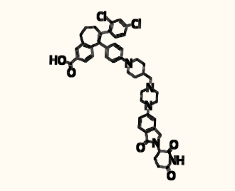 O=C1CCC(N2Cc3cc(N4CCN(CC5CCN(c6ccc(C7=C(c8ccc(Cl)cc8Cl)CCCc8cc(C(=O)O)ccc87)cc6)CC5)CC4)ccc3C2=O)C(=O)N1